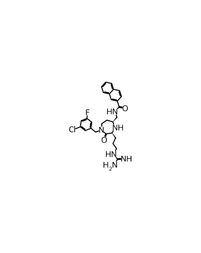 N=C(N)NCCC[C@@H]1N[C@H](CNC(=O)c2ccc3ccccc3c2)CCN(Cc2cc(F)cc(Cl)c2)C1=O